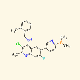 Cc1ccccc1CNc1c(Cl)c(C)nc2cc(F)c(-c3ccc(P(C)C)nc3)cc12